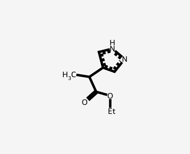 CCOC(=O)C(C)c1cn[nH]c1